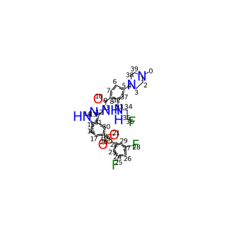 CN1CCN(c2ccc(C(=O)Nc3n[nH]c4ccc(S(=O)(=O)c5cc(F)cc(F)c5)cc34)c(NCCF)c2)CC1